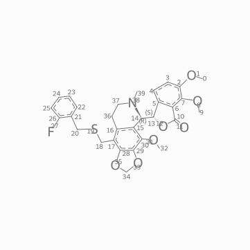 COc1ccc2c(c1OC)C(=O)O[C@@H]2[C@H]1c2c(c(CSCc3ccccc3F)c3c(c2OC)OCO3)CCN1C